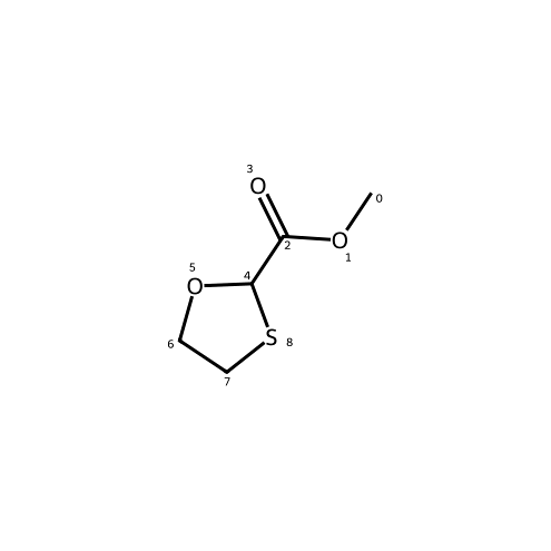 COC(=O)C1OCCS1